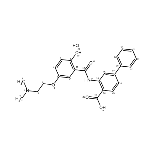 CN(C)CCOc1ccc(O)c(C(=O)Nc2cc(-c3ccccc3)ccc2C(=O)O)c1.Cl